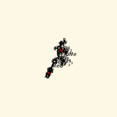 COC(=O)N[C@H](C(=O)N[C@@H](Cc1ccc(C#Cc2cnc(N3CC4CCC(C3)N4C3COC3)nc2)cc1)[C@H](CN(Cc1c(F)cc(-c2ccn(C(F)F)n2)cc1F)NC(=O)[C@@H](NC(=O)OC)C(C)(C)C(F)(F)F)OC(C)=O)C(C)(C)C(F)(F)F